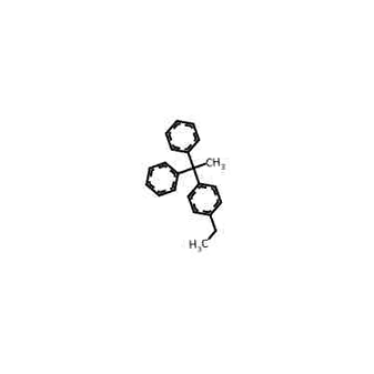 CCc1ccc(C(C)(c2ccccc2)c2ccccc2)cc1